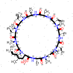 C=CC[C@@H](C)[C@@H](O)[C@H]1C(=O)N[C@@H](CC)C(=O)N(C)CC(=O)N(C)[C@@H](CC(C)C)C(=O)N[C@@H](C(C)C)C(=O)N(C)[C@@H](CC(C)C)C(=O)N[C@@H](C)C(=O)N[C@H](C)C(=O)N(C)[C@@H](CC(C)C)C(=O)N(C)[C@@H](CC(C)C)C(=O)N(C)[C@@H](C(C)C)C(=O)N1C